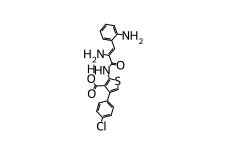 N/C(=C\c1ccccc1N)C(=O)Nc1scc(-c2ccc(Cl)cc2)c1C(=O)O